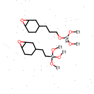 CCO[SiH](OCC)OCCCC1CCC2OC2C1.CCO[Si](CCC1CCC2OC2C1)(OCC)OCC